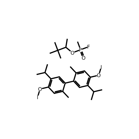 CC(OP(C)(=O)F)C(C)(C)C.Cc1cc(OI)c(C(C)C)cc1-c1cc(C(C)C)c(OI)cc1C